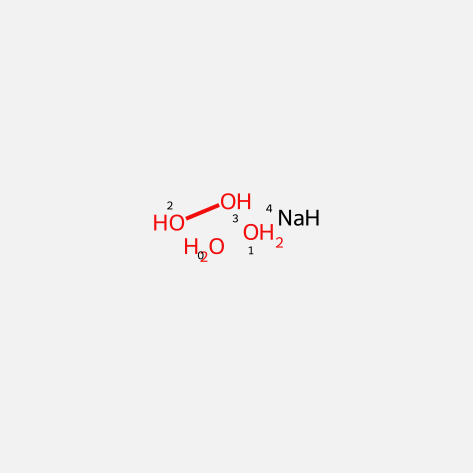 O.O.OO.[NaH]